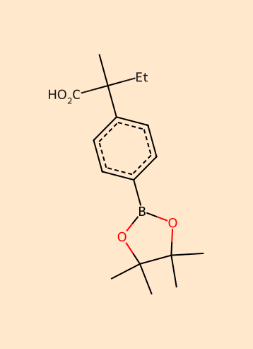 CCC(C)(C(=O)O)c1ccc(B2OC(C)(C)C(C)(C)O2)cc1